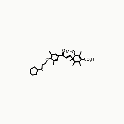 COC1C(C)=C(C(=O)O)C(C)=C(C)C1(C)C=CC(=O)c1cc(C)c(OCCSC2CCCCC2)c(C)c1